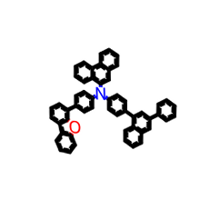 c1ccc(-c2cc(-c3ccc(N(c4ccc(-c5cccc6c5oc5ccccc56)cc4)c4cc5ccccc5c5ccccc45)cc3)c3ccccc3c2)cc1